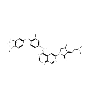 Cc1cc(Nc2ncnc3cnc(N4CC(C)/C(=C\CN(C)C)C4=O)cc23)ccc1Oc1ccc2c(c1)nnn2C